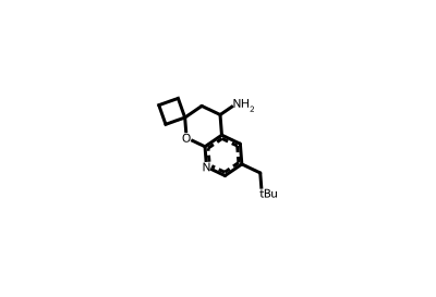 CC(C)(C)Cc1cnc2c(c1)C(N)CC1(CCC1)O2